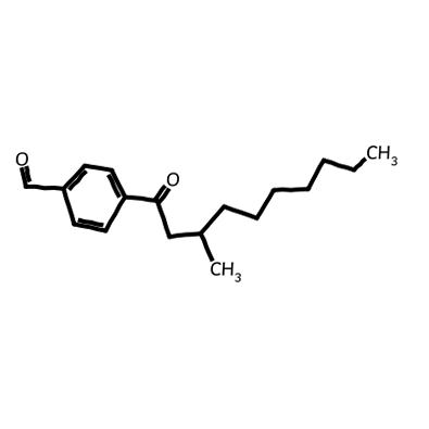 CCCCCCCC(C)CC(=O)c1ccc(C=O)cc1